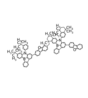 CC(C)(C)c1cccc(N2c3cc(C(C)(C)C)ccc3B3c4ccccc4-c4cc(-c5ccc6c(c5)oc5cc(CC7(C)CCC(C)(C)c8cc9c(cc87)B7c8ccccc8-c8cc(-c%10ccc%11c(c%10)oc%10ccccc%10%11)cc(c87)N9c7ccc8c(c7)C(C)(C)CCC8(C)C)ccc56)cc2c43)c1